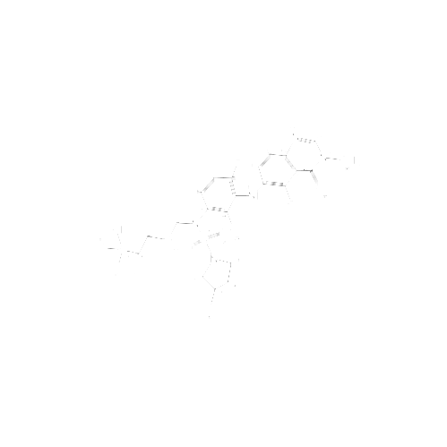 Cc1c(Nc2c(F)ccc(N(COCC[Si](C)(C)C)S(=O)(=O)N3CCC(F)C3)c2Cl)ccc2ncn(C)c(=O)c12